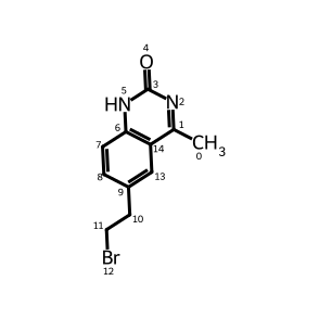 Cc1nc(=O)[nH]c2ccc(CCBr)cc12